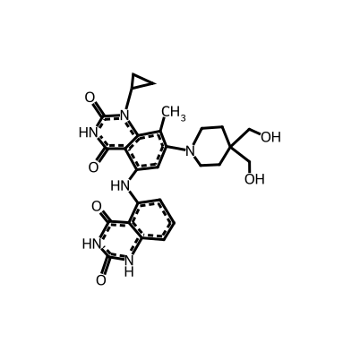 Cc1c(N2CCC(CO)(CO)CC2)cc(Nc2cccc3[nH]c(=O)[nH]c(=O)c23)c2c(=O)[nH]c(=O)n(C3CC3)c12